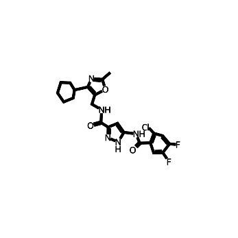 Cc1nc(C2CCCCC2)c(CNC(=O)c2cc(NC(=O)c3cc(F)c(F)cc3Cl)[nH]n2)o1